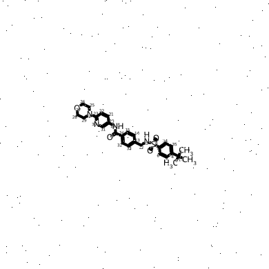 CC(C)(C)c1ccc(S(=O)(=O)NCc2ccc(C(=O)Nc3ccc(N4CCOCC4)nc3)cc2)cc1